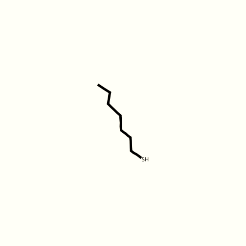 CCCCCCCS